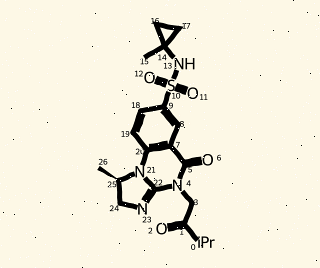 CC(C)C(=O)CN1C(=O)c2cc(S(=O)(=O)NC3(C)CC3)ccc2N2C1=NC[C@H]2C